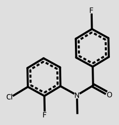 CN(C(=O)c1ccc(F)cc1)c1cccc(Cl)c1F